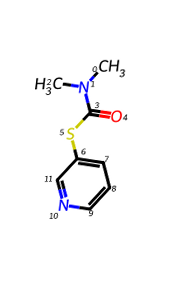 CN(C)C(=O)Sc1cccnc1